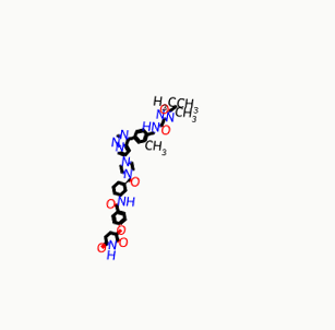 Cc1cc(-c2ncnn3cc(N4CCN(C(=O)[C@@H]5CCC[C@H](NC(=O)c6ccc(OC7CCC(=O)NC7=O)cc6)C5)CC4)cc23)ccc1CNC(=O)c1noc(C(C)(C)C)n1